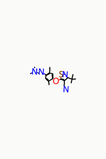 Cc1cc(Oc2snc(C(C)(C)C)c2C#N)c(C)cc1N=CN(C)C